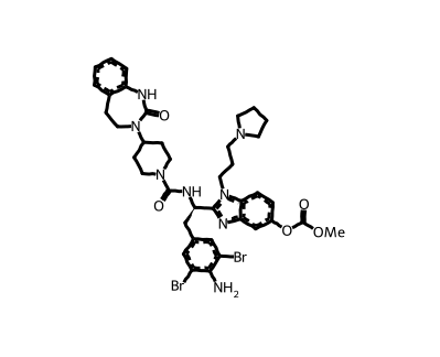 COC(=O)Oc1ccc2c(c1)nc([C@@H](Cc1cc(Br)c(N)c(Br)c1)NC(=O)N1CCC(N3CCc4ccccc4NC3=O)CC1)n2CCCN1CCCC1